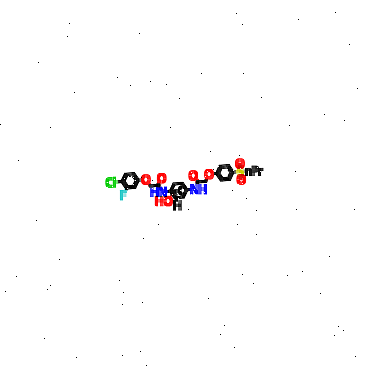 CCCS(=O)(=O)c1ccc(OCC(=O)NC23CCC(NC(=O)COc4ccc(Cl)c(F)c4)(CC2)[C@@H](O)C3)cc1